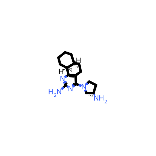 Nc1nc2c(c(N3CC[C@@H](N)C3)n1)CC[C@H]1CCCC[C@H]21